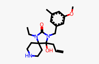 C=CCC1(O)N(Cc2cc(C)cc(OC)c2)C(=O)N(CC)C12CCNCC2